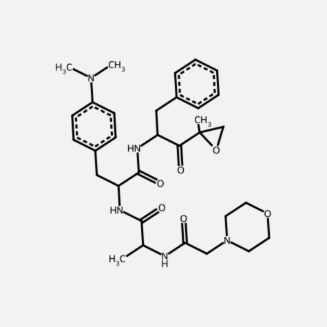 CC(NC(=O)CN1CCOCC1)C(=O)NC(Cc1ccc(N(C)C)cc1)C(=O)NC(Cc1ccccc1)C(=O)C1(C)CO1